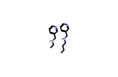 CCCCNCc1cccnc1.CCNCc1cccnc1